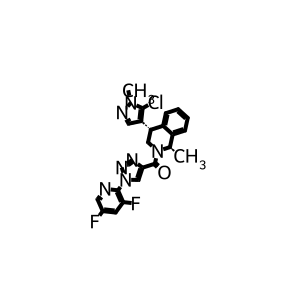 C[C@H]1c2ccccc2[C@@H](c2cnn(C)c2Cl)CN1C(=O)c1cn(-c2ncc(F)cc2F)nn1